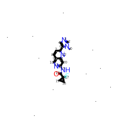 Cn1cncc1-c1ccc2cnc(NC(=O)C3(F)CC3)cc2n1